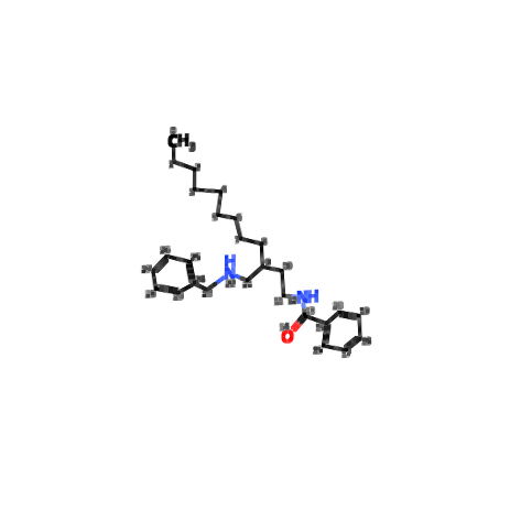 CCCCCCCCCC(CCNC(=O)c1ccccc1)CNCc1ccccc1